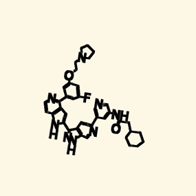 O=C(CC1CCCCC1)Nc1cncc(-c2cc3c(-c4cc5c(-c6cc(F)cc(OCCN7CCCC7)c6)nccc5[nH]4)n[nH]c3cn2)c1